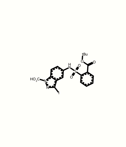 CC(C)(C)OC(=O)c1ccccc1S(=O)(=O)Nc1ccc2c(c1)c(I)nn2C(=O)O